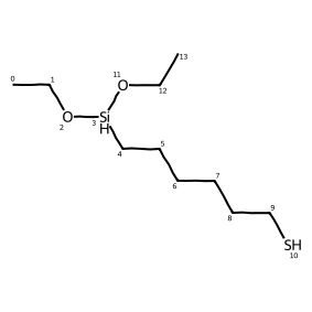 CCO[SiH](CCCCCCS)OCC